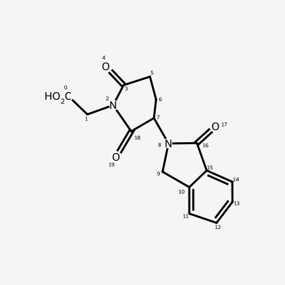 O=C(O)CN1C(=O)CCC(N2Cc3ccccc3C2=O)C1=O